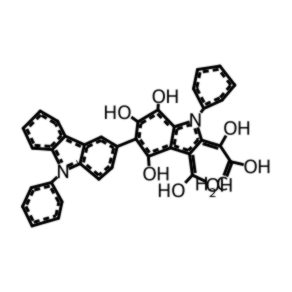 C=C(O)/C(O)=c1\c(=C(O)O)c2c(O)c(-c3ccc4c(c3)c3ccccc3n4-c3ccccc3)c(O)c(O)c2n1-c1ccccc1